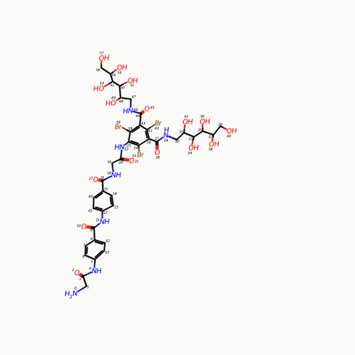 NCC(=O)Nc1ccc(C(=O)Nc2ccc(C(=O)NCC(=O)Nc3c(Br)c(C(=O)NCC(O)C(O)C(O)C(O)CO)c(Br)c(C(=O)NCC(O)C(O)C(O)C(O)CO)c3Br)cc2)cc1